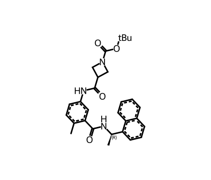 Cc1ccc(NC(=O)C2CN(C(=O)OC(C)(C)C)C2)cc1C(=O)N[C@H](C)c1cccc2ccccc12